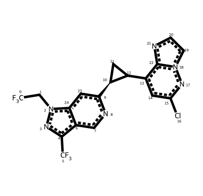 FC(F)(F)Cn1nc(C(F)(F)F)c2cnc([C@H]3CC3c3cc(Cl)nn4ccnc34)cc21